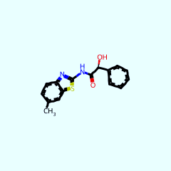 Cc1ccc2nc(NC(=O)[C@@H](O)c3ccccc3)sc2c1